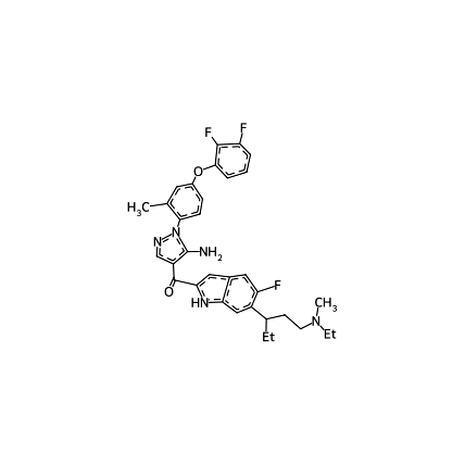 CCC(CCN(C)CC)c1cc2[nH]c(C(=O)c3cnn(-c4ccc(Oc5cccc(F)c5F)cc4C)c3N)cc2cc1F